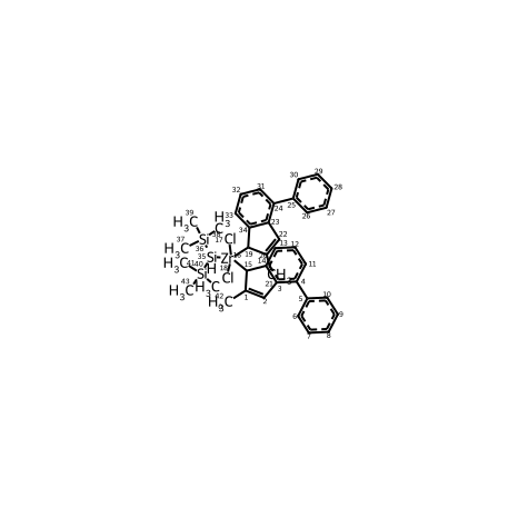 CC1=Cc2c(-c3ccccc3)cccc2[CH]1[Zr]([Cl])([Cl])([CH]1C(C)=Cc2c(-c3ccccc3)cccc21)[SiH]([Si](C)(C)C)[Si](C)(C)C